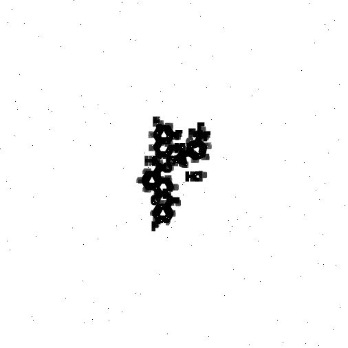 CC(c1ccc(F)cc1)N1CCc2c(C(=O)N[C@@H](Cc3cc(F)cc(F)c3)[C@@H](O)CNC3(c4cccc(C(F)(F)F)c4)CC3)cccc2C1=O.Cl